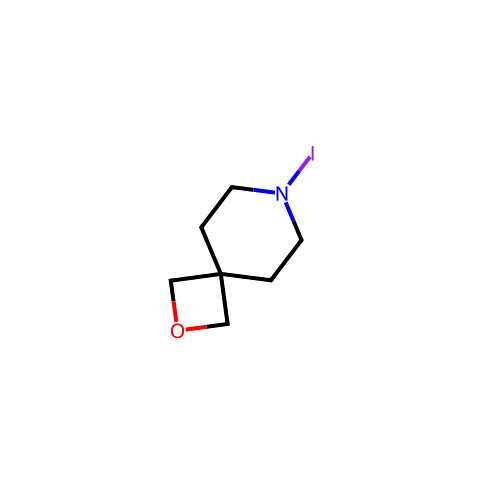 IN1CCC2(CC1)COC2